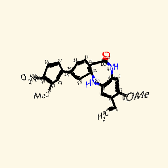 C=Cc1cc2c(cc1OC)NC(=O)c1ccc(-c3ccc([N+](=O)[O-])c(OC)c3)cc1N2